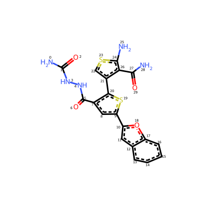 NC(=O)NNC(=O)c1cc(-c2cc3ccccc3o2)sc1-c1csc(N)c1C(N)=O